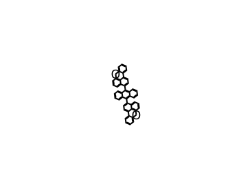 c1ccc2c(c1)Oc1cccc3c(-c4c5ccccc5c(-c5ccc6c7c(cccc57)Oc5ccccc5-6)c5ccccc45)ccc-2c13